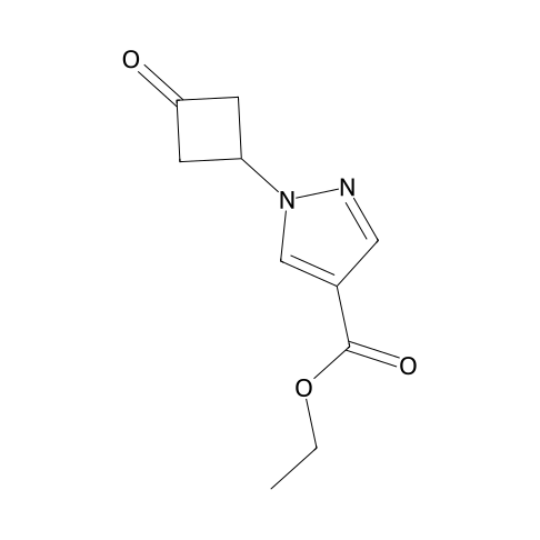 CCOC(=O)c1cnn(C2CC(=O)C2)c1